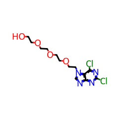 OCCOCCOCCOCCn1cnc2nc(Cl)nc(Cl)c21